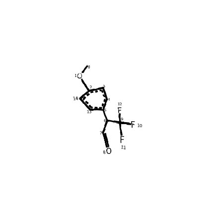 COc1ccc(C(C=O)C(F)(F)F)cc1